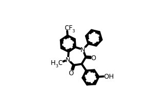 CN1C(=O)C(c2cccc(O)c2)C(=O)N(c2ccccc2)c2cc(C(F)(F)F)ccc21